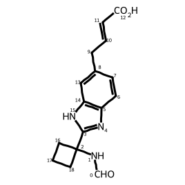 O=CNC1(c2nc3ccc(CC=CC(=O)O)cc3[nH]2)CCC1